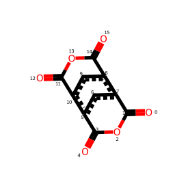 O=C1OC(=O)c2cc1c1cc2C(=O)OC1=O